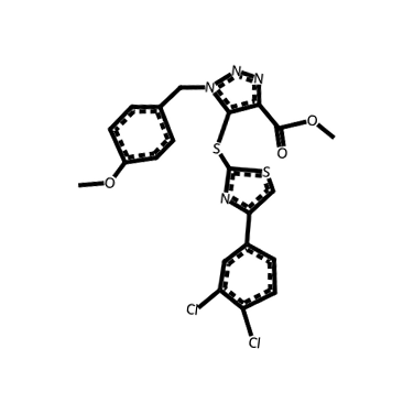 COC(=O)c1nnn(Cc2ccc(OC)cc2)c1Sc1nc(-c2ccc(Cl)c(Cl)c2)cs1